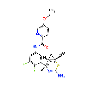 C#C[C@]12C[C@H]1[C@@](C)(c1cc(NC(=O)c3ccc(OCC(F)(F)F)cn3)cc(F)c1F)N=C(N)S2